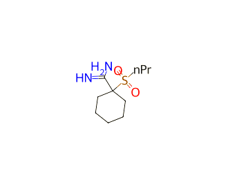 CCCS(=O)(=O)C1(C(=N)N)CCCCC1